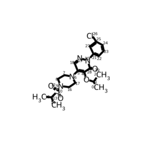 CC(C)Oc1c(N2CCN(S(=O)(=O)C(C)C)CC2)cnn(-c2cccc(Cl)c2)c1=O